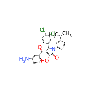 CC(C)c1cccc(N2C(=O)C(O)=C(C(=O)c3cccc(N)c3)C2c2ccc(Cl)c(Cl)c2)c1